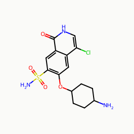 NC1CCC(Oc2cc3c(Cl)c[nH]c(=O)c3cc2S(N)(=O)=O)CC1